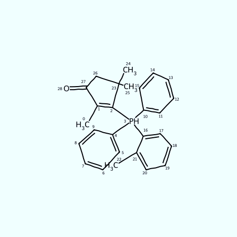 CC1=C([PH](c2ccccc2)(c2ccccc2)c2ccccc2C)C(C)(C)CC1=O